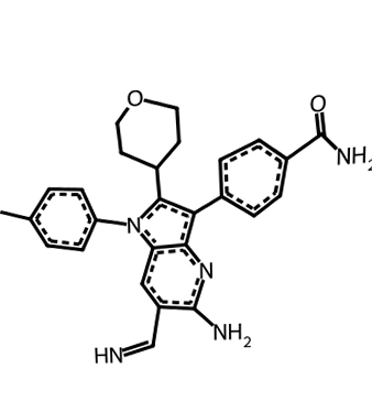 N=Cc1cc2c(nc1N)c(-c1ccc(C(N)=O)cc1)c(C1CCOCC1)n2-c1ccc(F)cc1